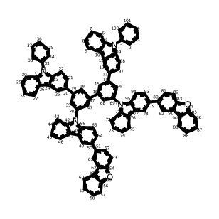 c1ccc(-n2c3ccccc3c3cc(-c4cc(-c5cc(-c6ccc7c(c6)c6ccccc6n7-c6ccccc6)cc(-n6c7ccccc7c7cc(-c8ccc9oc%10ccccc%10c9c8)ccc76)c5)cc(-n5c6ccccc6c6cc(-c7ccc8oc9ccccc9c8c7)ccc65)c4)ccc32)cc1